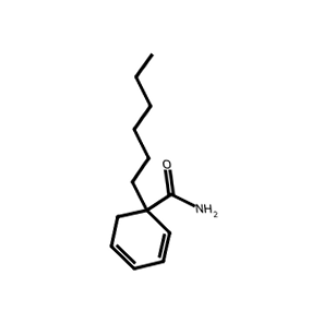 CCCCCCC1(C(N)=O)C=CC=CC1